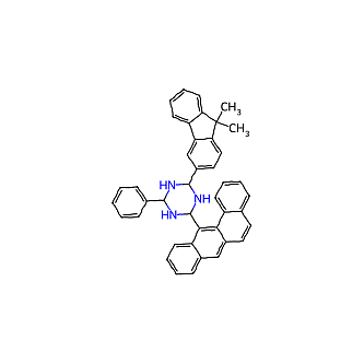 CC1(C)c2ccccc2-c2cc(C3NC(c4ccccc4)NC(c4c5ccccc5cc5ccc6ccccc6c45)N3)ccc21